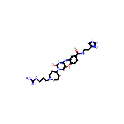 N=C(N)NCCCN1CCCC(N2C=C3Oc4ccc(C(=O)NCCc5cnc[nH]5)cc4NC3=NC2O)CC1